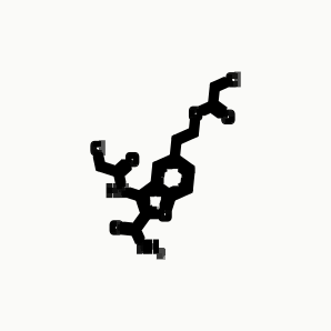 NC(=O)c1oc2ccc(CCOC(=O)CCl)cc2c1NC(=O)CCl